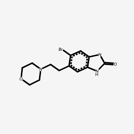 O=C1[N]c2cc(Br)c(CCN3CCOCC3)cc2N1